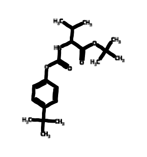 CC(C)C(NC(=O)Oc1ccc(C(C)(C)C)cc1)C(=O)OC(C)(C)C